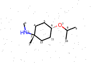 CN[C@]1(C)CC[C@H](OC(C)C)CC1